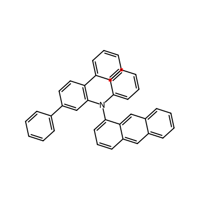 c1ccc(-c2ccc(-c3ccccc3)c(N(c3ccccc3)c3cccc4cc5ccccc5cc34)c2)cc1